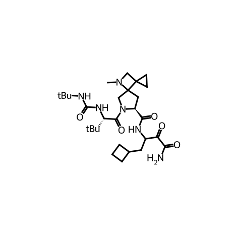 CN1CC2(CC2)C12C[C@@H](C(=O)NC(CC1CCC1)C(=O)C(N)=O)N(C(=O)[C@@H](NC(=O)NC(C)(C)C)C(C)(C)C)C2